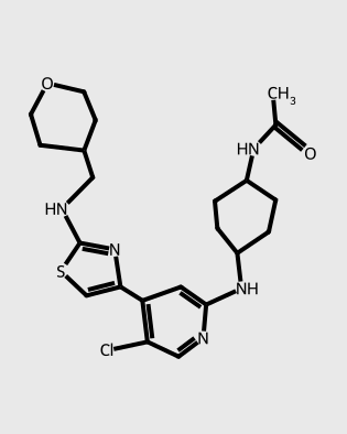 CC(=O)NC1CCC(Nc2cc(-c3csc(NCC4CCOCC4)n3)c(Cl)cn2)CC1